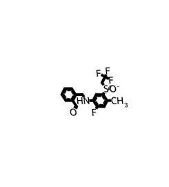 Cc1cc(F)c(NCc2ccccc2C=O)cc1[S+]([O-])CC(F)(F)F